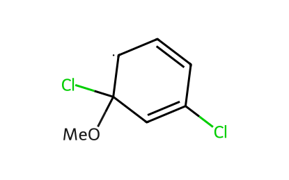 COC1(Cl)[CH]C=CC(Cl)=C1